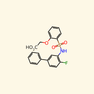 O=C(O)COc1ccccc1S(=O)(=O)Nc1cc(-c2ccccc2)ccc1F